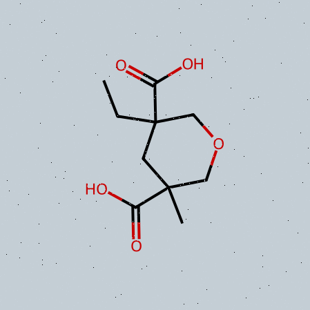 CCC1(C(=O)O)COCC(C)(C(=O)O)C1